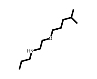 CCCNCCOCCCC(C)C